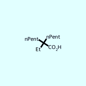 CCCCCC(CC)(CCCCC)C(=O)O